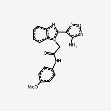 COc1ccc(NC(=O)Cn2c(-c3nonc3N)nc3ccccc32)cc1